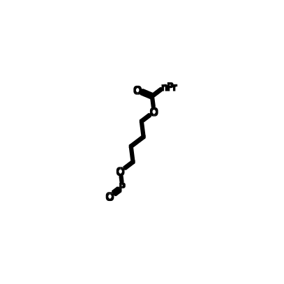 CCCC(=O)OCCCCOP=O